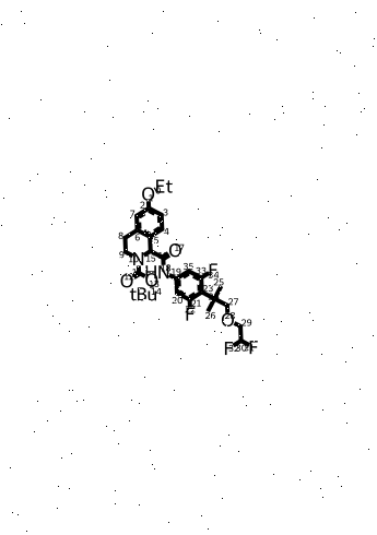 CCOc1ccc2c(c1)CCN(C(=O)OC(C)(C)C)C2C(=O)Nc1cc(F)c(C(C)(C)COCC(F)F)c(F)c1